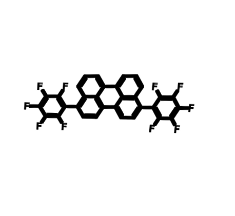 Fc1c(F)c(F)c(-c2ccc3c4ccc(-c5c(F)c(F)c(F)c(F)c5F)c5cccc(c6cccc2c63)c54)c(F)c1F